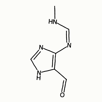 CN/C=N\c1nc[nH]c1C=O